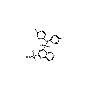 Cc1ccc(N(c2ccc(C)cc2)S(=O)(=O)c2cc(S(N)(=O)=O)cc3ccccc23)cc1